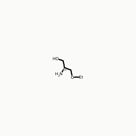 CCOC[C@@H](N)CO